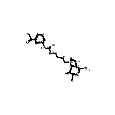 CC(=O)c1cccc(NC(=O)NCCCCn2cnc3c(N)nc(C)c(C)c32)c1